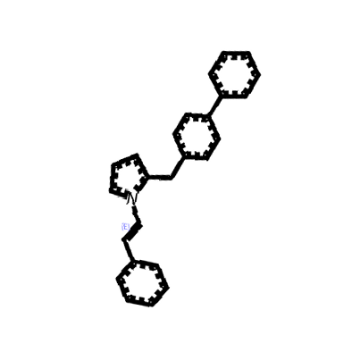 C(=C\n1cccc1Cc1ccc(-c2ccccc2)cc1)/c1ccccc1